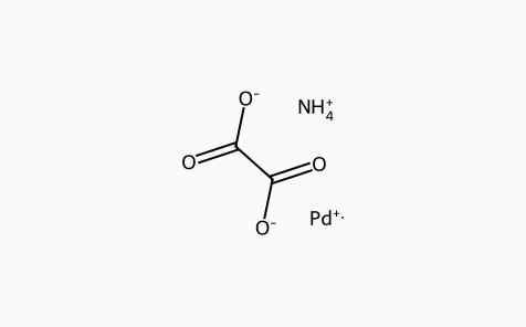 O=C([O-])C(=O)[O-].[NH4+].[Pd+]